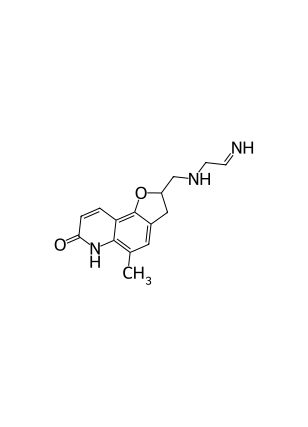 Cc1cc2c(c3ccc(=O)[nH]c13)OC(CNCC=N)C2